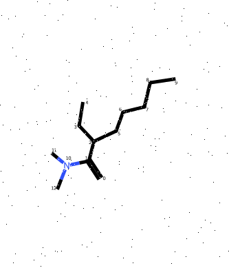 C=C(C(CC)CCCCC)N(C)C